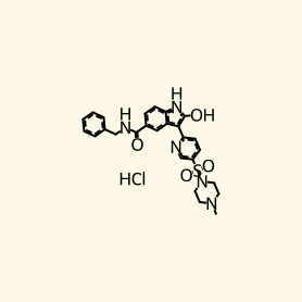 CN1CCN(S(=O)(=O)c2ccc(-c3c(O)[nH]c4ccc(C(=O)NCc5ccccc5)cc34)nc2)CC1.Cl